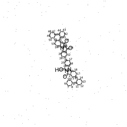 O=c1c2c(-c3ccccc3-c3ccccc3)cccc2n2n1C(O)c1cc(-c3ccc4c(c3)c(=O)n3c(=O)c5c(-c6ccccc6-c6ccccc6)cccc5n43)ccc1-2